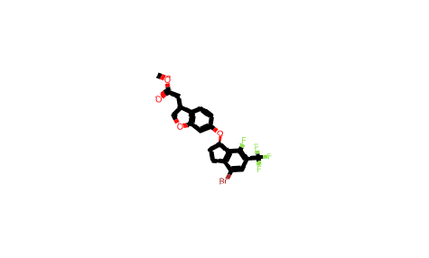 COC(=O)CC1COc2cc(O[C@@H]3CCc4c(Br)cc(C(F)(F)F)c(F)c43)ccc21